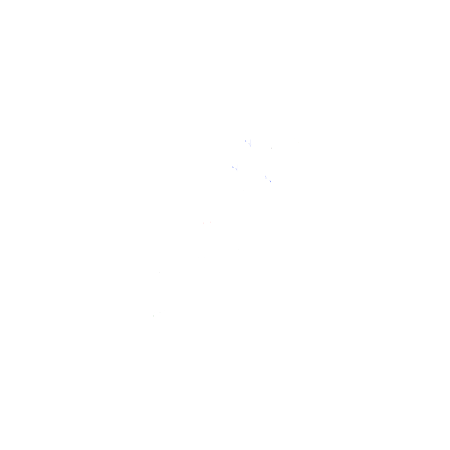 S=c1[nH]nc(COc2ccc(Cl)cc2Cl)[nH]1